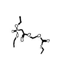 CCOP(=O)(CC(=O)OCOC(=O)SCC)OCC